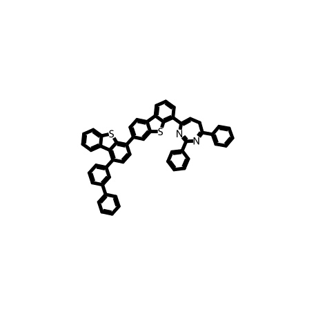 C1=C(c2cccc3c2sc2cc(-c4ccc(-c5cccc(-c6ccccc6)c5)c5c4sc4ccccc45)ccc23)N=C(c2ccccc2)N=C(c2ccccc2)C1